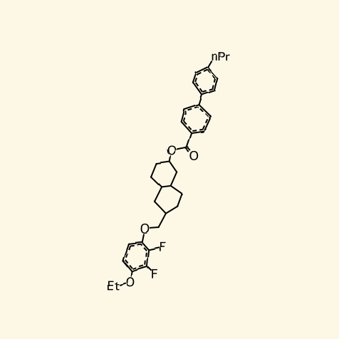 CCCc1ccc(-c2ccc(C(=O)OC3CCC4CC(COc5ccc(OCC)c(F)c5F)CCC4C3)cc2)cc1